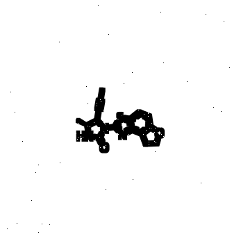 CC#CC1[C@H](C)NC(=O)N1c1nc2c3c(ccc2s1)OCC3